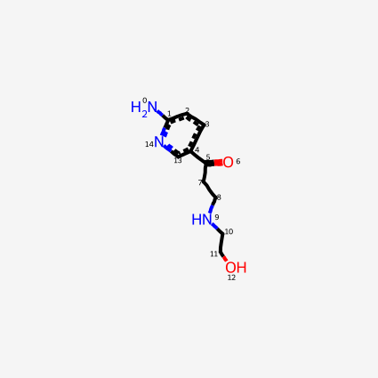 Nc1ccc(C(=O)CCNCCO)cn1